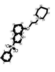 O=S(=O)(c1ccccc1)c1cnc2c(OCCN3CCCCCC3)cccc2c1